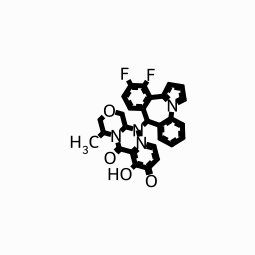 CC1COCC2N1C(=O)c1c(O)c(=O)ccn1N2C1c2ccccc2-n2cccc2-c2c1ccc(F)c2F